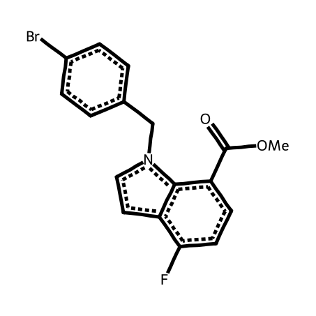 COC(=O)c1ccc(F)c2ccn(Cc3ccc(Br)cc3)c12